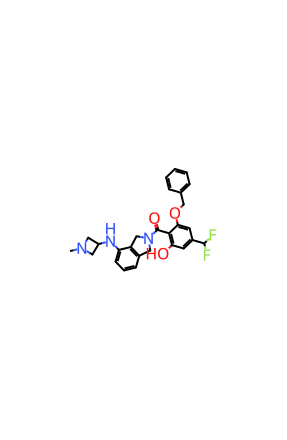 CN1CC(Nc2cccc3c2CN(C(=O)c2c(O)cc(C(F)F)cc2OCc2ccccc2)C3)C1